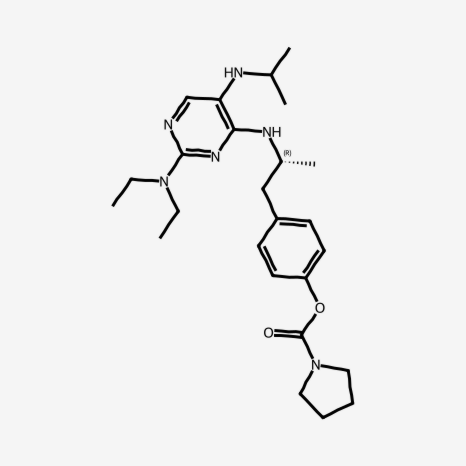 CCN(CC)c1ncc(NC(C)C)c(N[C@H](C)Cc2ccc(OC(=O)N3CCCC3)cc2)n1